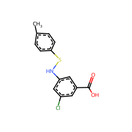 Cc1ccc(SNc2cc(Cl)cc(C(=O)O)c2)cc1